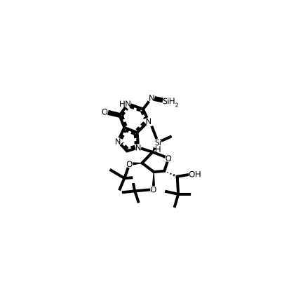 C[SiH](C)[C@@]1(n2cnc3c(=O)[nH]c(N=[SiH2])nc32)O[C@H](C(O)C(C)(C)C)[C@@H](OC(C)(C)C)[C@H]1OC(C)(C)C